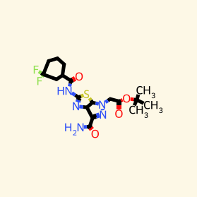 CC(C)(C)OC(=O)CN1N=C(C(N)=O)C2N=C(NC(=O)C3CCCC(F)(F)C3)SC21